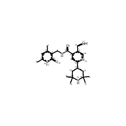 Cc1cc(C)c(CNC(=O)c2cc(C3CC(C)(C)NC(C)(C)C3)ncc2C=N)c(=O)[nH]1